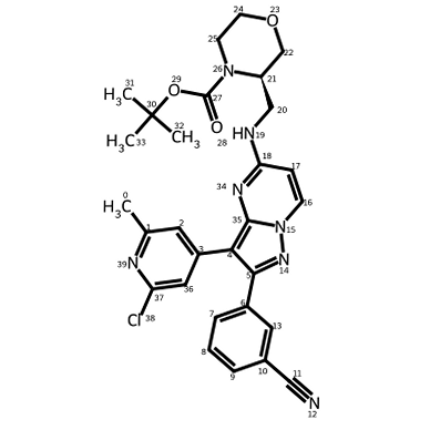 Cc1cc(-c2c(-c3cccc(C#N)c3)nn3ccc(NC[C@@H]4COCCN4C(=O)OC(C)(C)C)nc23)cc(Cl)n1